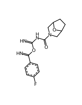 N=C(NC(=O)N1CC2CCC(C1)O2)OC(=N)c1ccc(F)cc1